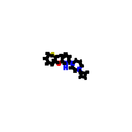 [C]1=C(N2CCCN(C3CCC3)CC2)NC(OC2CCCCSC2)C=C1